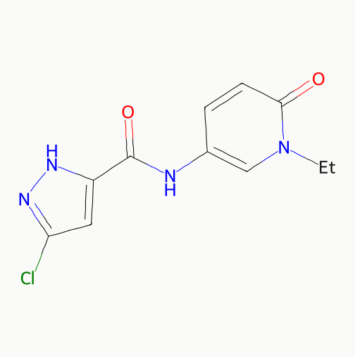 CCn1cc(NC(=O)c2cc(Cl)n[nH]2)ccc1=O